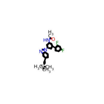 CC(=O)Nc1cc(-c2ccc(F)cc2F)cc(-n2cnc3cc(C#C[Si](C)(C)C)ccc32)c1